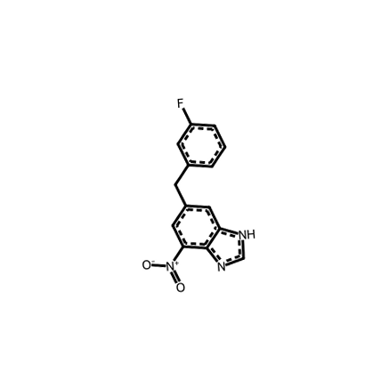 O=[N+]([O-])c1cc(Cc2cccc(F)c2)cc2[nH]cnc12